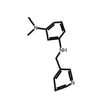 CN(C)c1cccc(NCc2cccnc2)c1